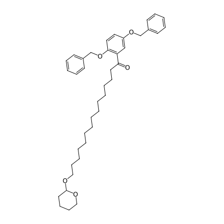 O=C(CCCCCCCCCCCCCCOC1CCCCO1)c1cc(OCc2ccccc2)ccc1OCc1ccccc1